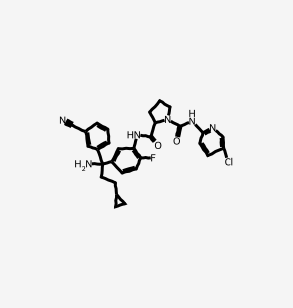 N#Cc1cccc(C(N)(CCC2CC2)c2ccc(F)c(NC(=O)C3CCCN3C(=O)Nc3ccc(Cl)cn3)c2)c1